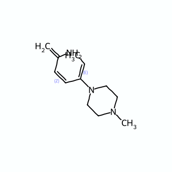 C=C(N)/C=C\C(=C/C)N1CCN(C)CC1